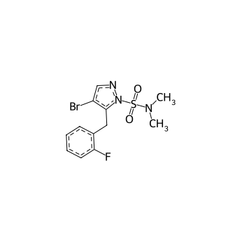 CN(C)S(=O)(=O)n1ncc(Br)c1Cc1ccccc1F